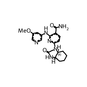 COc1cncc(Nc2nc(N3C(=O)N[C@H]4CCCC[C@H]43)ccc2C(N)=O)c1